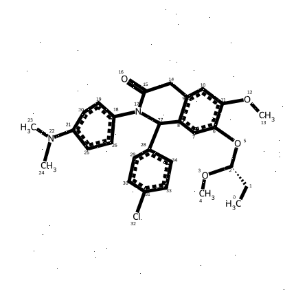 CC[C@H](OC)Oc1cc2c(cc1OC)CC(=O)N(c1ccc(N(C)C)cc1)C2c1ccc(Cl)cc1